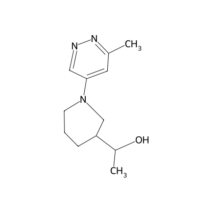 Cc1cc(N2CCCC(C(C)O)C2)cnn1